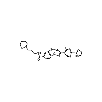 O=C(NCCCN1CCCCC1)c1ccc2c(c1)sc1nc(-c3ccc(C4CCCN4)cc3F)nn12